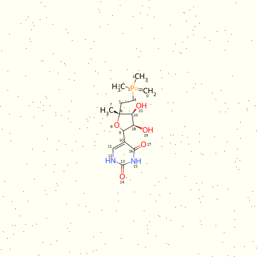 C=P(C)(C)CC[C@@]1(C)OC(c2c[nH]c(=O)[nH]c2=O)[C@H](O)[C@@H]1O